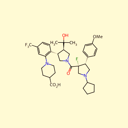 COc1ccc([C@@H]2CN(C3CCCC3)C[C@@]2(F)C(=O)N2C[C@H](c3ccc(C(F)(F)F)cc3N3CCC(C(=O)O)CC3)[C@@H](C(C)(C)O)C2)cc1